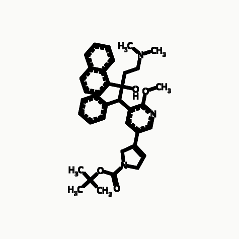 COc1ncc(C2=CCN(C(=O)OC(C)(C)C)C2)cc1C(c1ccccc1)C(O)(CCN(C)C)c1cccc2ccccc12